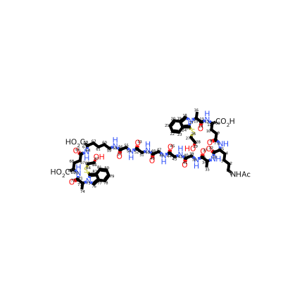 CC(=O)NCCCCC(NC(=O)CCC(NC(=O)C(C)n1cc2ccccc2c1SCCO)C(=O)O)C(=O)NC(C)C(=O)NCC(=O)NCC(=O)NCC(=O)NCC(=O)NCC(=O)NCCCCC(NC(=O)CCC(NC(=O)C(C)n1cc2ccccc2c1SCCO)C(=O)O)C(=O)O